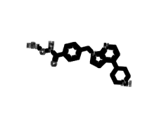 CCCCONC(=O)c1ccc(Cn2ccc3c(C4CCNCC4)ccnc32)cc1